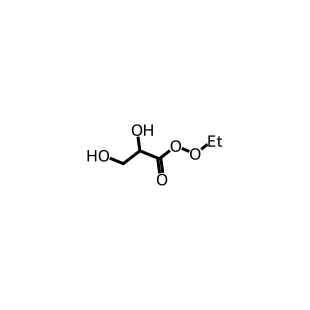 CCOOC(=O)C(O)CO